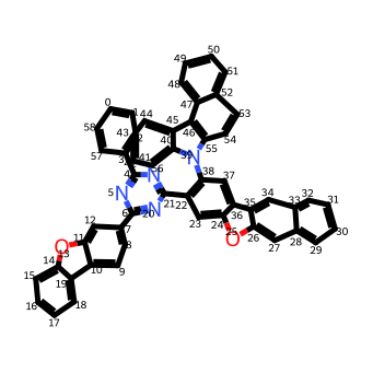 c1ccc(-c2nc(-c3ccc4c(c3)oc3ccccc34)nc(-c3cc4oc5cc6ccccc6cc5c4cc3-n3c4ccccc4c4c5ccccc5ccc43)n2)cc1